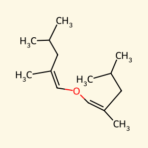 CC(=COC=C(C)CC(C)C)CC(C)C